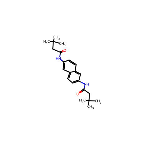 CC(C)(C)CC(=O)Nc1ccc2cc(NC(=O)CC(C)(C)C)ccc2c1